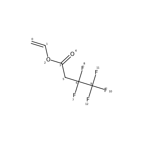 C=COC(=O)CC(F)(F)C(F)(F)F